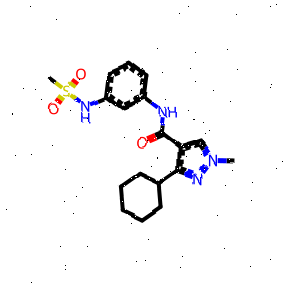 Cn1cc(C(=O)Nc2cccc(NS(C)(=O)=O)c2)c(C2CCCCC2)n1